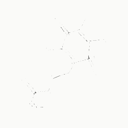 CNC(=O)CCCC1=C(C)C(=O)C(C)=C(C)C1=O